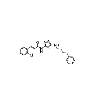 O=C(/C=C/c1ccccc1Cl)Nc1nnc(NCCCCc2ccccc2)s1